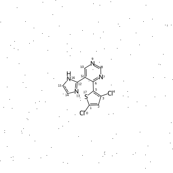 Clc1cc(Cl)c(-c2n[c]ncc2-c2ncc[nH]2)s1